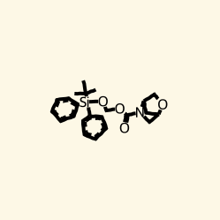 CC(C)(C)[Si](OCOC(=O)N1CC2CC1CO2)(c1ccccc1)c1ccccc1